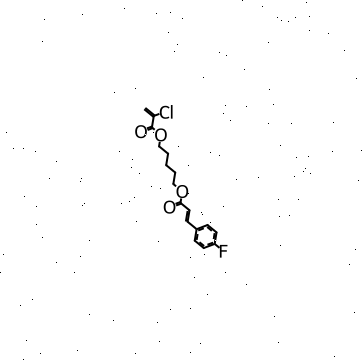 C=C(Cl)C(=O)OCCCCCOC(=O)/C=C/c1ccc(F)cc1